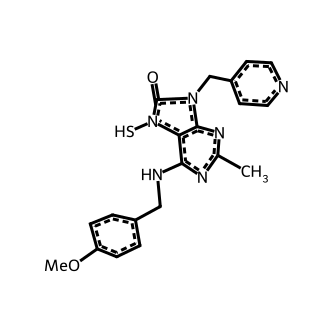 COc1ccc(CNc2nc(C)nc3c2n(S)c(=O)n3Cc2ccncc2)cc1